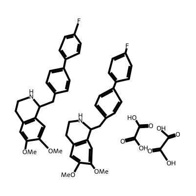 COc1cc2c(cc1OC)C(Cc1ccc(-c3ccc(F)cc3)cc1)NCC2.COc1cc2c(cc1OC)C(Cc1ccc(-c3ccc(F)cc3)cc1)NCC2.O=C(O)C(=O)O.O=C(O)C(=O)O